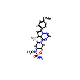 COc1ccc(-c2cc(C)c3c(N4CCC(N(C)S(N)(=O)=O)CC4)ncnn23)cc1